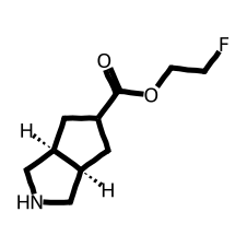 O=C(OCCF)C1C[C@H]2CNC[C@H]2C1